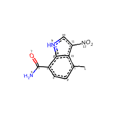 Cc1ccc(C(N)=O)c2[nH]cc([N+](=O)[O-])c12